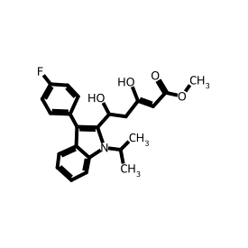 COC(=O)C=C(O)CC(O)c1c(-c2ccc(F)cc2)c2ccccc2n1C(C)C